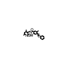 Cc1cc(C)c(CNC(=O)c2ccc(COc3ccccc3)c(C)c2)c(O)n1